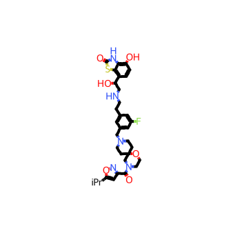 CC(C)c1cc(C(=O)N2CCOC3(CCN(Cc4cc(F)cc(CCNCC(O)c5ccc(O)c6[nH]c(=O)sc56)c4)CC3)C2)no1